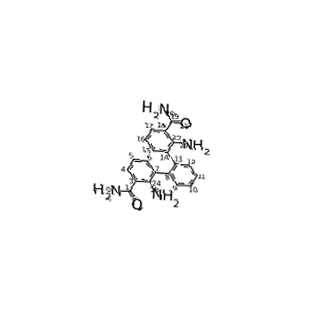 NC(=O)c1cccc(-c2ccccc2-c2cccc(C(N)=O)c2N)c1N